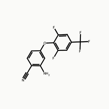 N#Cc1ccc(Oc2c(F)cc(C(F)(F)F)cc2F)cc1N